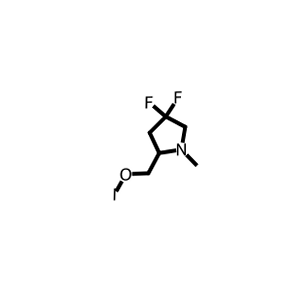 CN1CC(F)(F)CC1COI